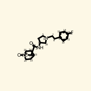 O=C(NC1CCN(CCc2ccc(F)cc2)C1)C1C[N+]2([O-])CCC1CC2